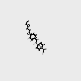 CCOCCOc1ccc(CC[C@H]2CC[C@H](CC)CC2)cc1